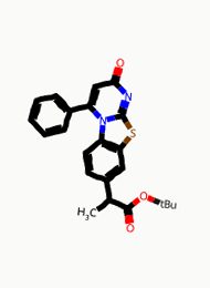 CC(C(=O)OC(C)(C)C)c1ccc2c(c1)sc1nc(=O)cc(-c3ccccc3)n12